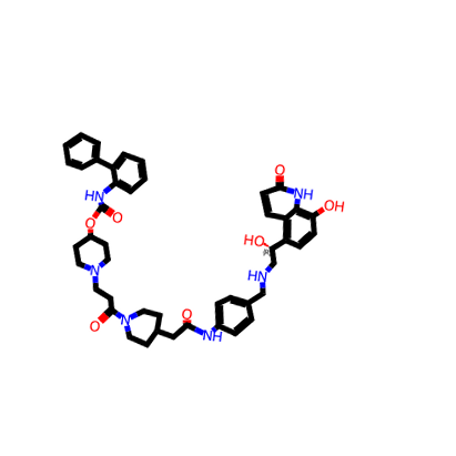 O=C(CC1CCN(C(=O)CCN2CCC(OC(=O)Nc3ccccc3-c3ccccc3)CC2)CC1)Nc1ccc(CNC[C@H](O)c2ccc(O)c3[nH]c(=O)ccc23)cc1